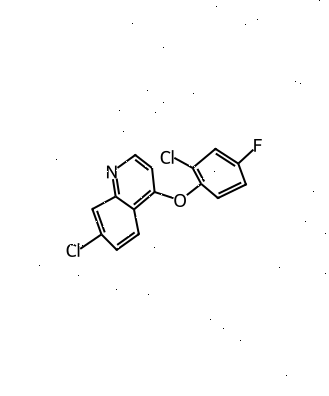 Fc1ccc(Oc2ccnc3cc(Cl)ccc23)c(Cl)c1